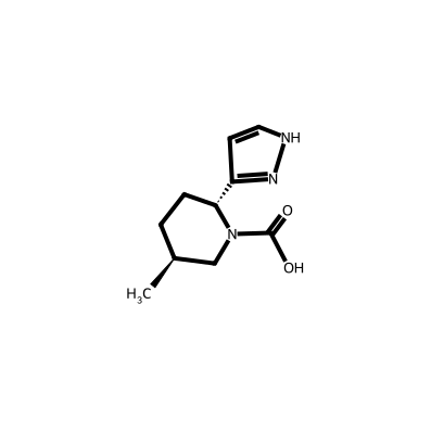 C[C@H]1CC[C@H](c2cc[nH]n2)N(C(=O)O)C1